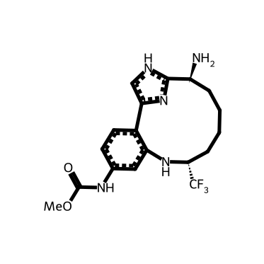 COC(=O)Nc1ccc2c(c1)N[C@@H](C(F)(F)F)CCCC[C@H](N)c1nc-2c[nH]1